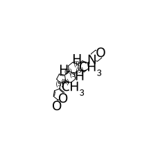 C[C@]12CCC(N3CCOCC3)C[C@H]1CC[C@H]1C3=CC[C@H](c4ccc(=O)oc4)[C@@]3(C)CC[C@@H]12